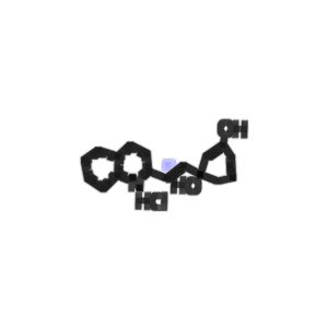 Cl.OC1=CC(O)(/C=C/c2ccc3ccccc3n2)CC=C1